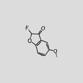 COc1ccc2c(c1)C(=O)C(F)O2